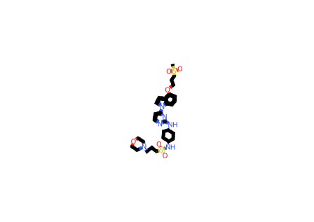 CS(=O)(=O)CCCOc1cccc2c1ccn2-c1ccnc(N[C@H]2CC[C@H](NS(=O)(=O)CCCN3CCOCC3)CC2)n1